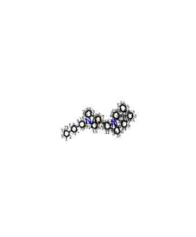 c1ccc(-c2ccc(-c3ccc(N(c4ccccc4)c4ccccc4-c4ccc(-c5ccc6c7ccccc7n(-c7cccc8c7-c7ccccc7C8(c7ccccc7)c7ccccc7)c6c5)cc4)cc3)cc2)cc1